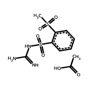 CC(=O)O.CS(=O)(=O)c1ccccc1S(=O)(=O)NC(=N)N